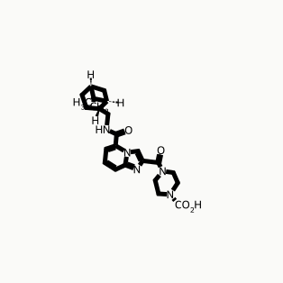 CC1(C)[C@H]2CC[C@@H](CNC(=O)c3cccc4nc(C(=O)N5CCN(C(=O)O)CC5)cn34)[C@@H]1C2